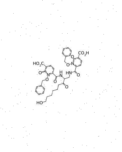 O=C(O)c1ccc(C(=O)NCC(NC(=O)c2ccc(C(=O)O)c(=O)n2OCc2ccccc2)C(=O)CCCCCCO)n(OCc2ccccc2)c1=O